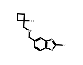 CC(C)c1nc2cc(CNCC3(O)CCC3)ccc2o1